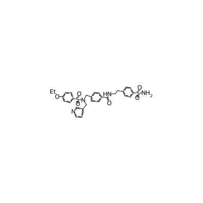 CCOc1ccc(S(=O)(=O)N(Cc2ccc(C(=O)NCCc3ccc(S(N)(=O)=O)cc3)cc2)Cc2cccnc2)cc1